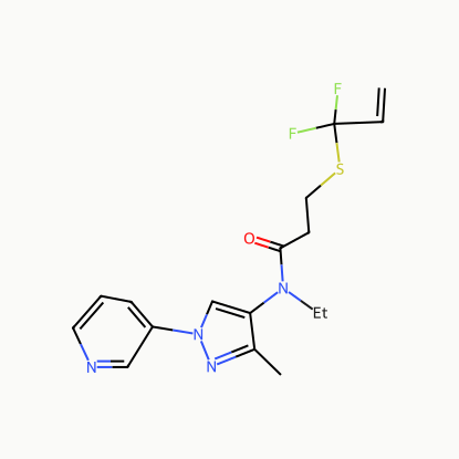 C=CC(F)(F)SCCC(=O)N(CC)c1cn(-c2cccnc2)nc1C